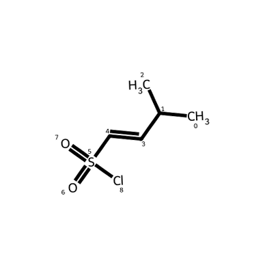 CC(C)C=CS(=O)(=O)Cl